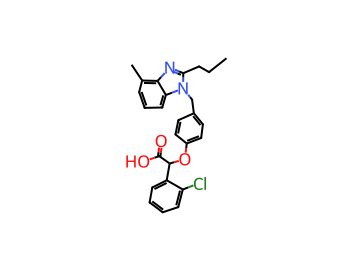 CCCc1nc2c(C)cccc2n1Cc1ccc(OC(C(=O)O)c2ccccc2Cl)cc1